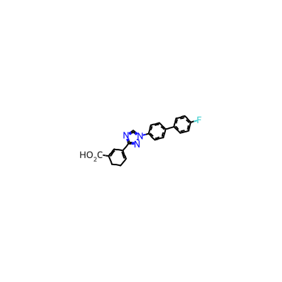 O=C(O)C1=CC(c2ncn(-c3ccc(-c4ccc(F)cc4)cc3)n2)=CCC1